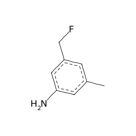 Cc1cc(N)cc(CF)c1